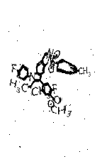 COC(=O)c1ccc(-c2c(C(C)C)n(-c3ccc(F)cc3)c3cc4cnn(S(=O)(=O)c5ccc(C)cc5)c4cc23)cc1F